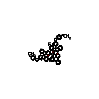 C=Cc1ccc(Oc2ccc(C3(c4c(F)ccc(F)c4F)C4=C(CCC=C4)c4ccc(N(c5cccc(-c6ccccc6-c6ccccc6)c5)c5ccc6c(c5)C(c5ccc(Oc7ccc(C=C)cc7)cc5)(c5c(F)ccc(F)c5F)c5ccccc5-6)cc43)cc2)cc1